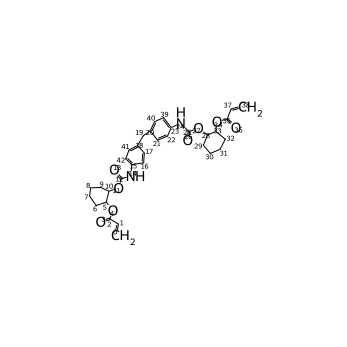 C=CC(=O)OC1CCCCC1OC(=O)Nc1ccc(Cc2ccc(NC(=O)OC3CCCCC3OC(=O)C=C)cc2)cc1